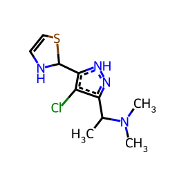 CC(c1n[nH]c(C2NC=CS2)c1Cl)N(C)C